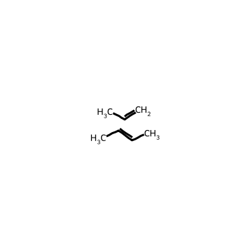 C=CC.CC=CC